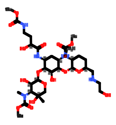 CN(C(=O)OC(C)(C)C)[C@@H]1[C@@H](O)[C@@H](O[C@@H]2[C@@H](O)[C@H](O[C@H]3O[C@H](CNCCO)CC[C@H]3NC(=O)O)[C@@H](NC(=O)OC(C)(C)C)C[C@H]2NC(=O)[C@@H](O)CCNC(=O)OC(C)(C)C)OC[C@]1(C)O